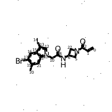 C=CC(=O)N1CC(NC(=O)Cn2cc(I)c3cc(Br)c(C)cc32)C1